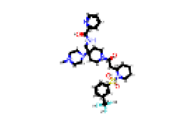 CN1CCN(C2(CNC(=O)c3ccccn3)CCN(C(=O)CC3CCCCN3S(=O)(=O)c3cccc(C(F)(F)F)c3)CC2)CC1